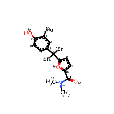 CCC(C)c1cc(C(CC)(CC)c2ccc(C(=O)N(C)C)o2)ccc1O